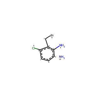 CC(C)Cc1c(N)cccc1Cl.N